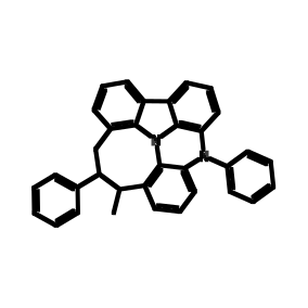 CC1c2cccc3c2-n2c4c(cccc4c4cccc(c42)N3c2ccccc2)CC1c1ccccc1